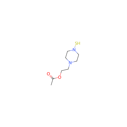 CC(=O)OCCN1CCN(S)CC1